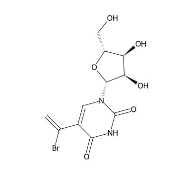 C=C(Br)c1cn([C@@H]2O[C@H](CO)[C@@H](O)[C@H]2O)c(=O)[nH]c1=O